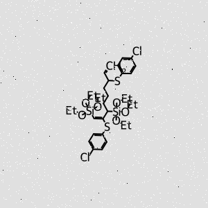 C=CC(CCCC(/C(=C\[Si](OCC)(OCC)OCC)Sc1ccc(Cl)cc1)[Si](OCC)(OCC)OCC)Sc1ccc(Cl)cc1